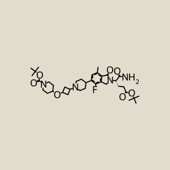 Cc1cc(C2CCN(C3CC(OC4CCN(C(=O)OC(C)(C)C)CC4)C3)CC2)c(F)c2c1C(=O)N([C@@H](CCC(=O)OC(C)(C)C)C(N)=O)C2